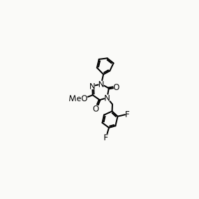 COc1nn(-c2ccccc2)c(=O)n(Cc2ccc(F)cc2F)c1=O